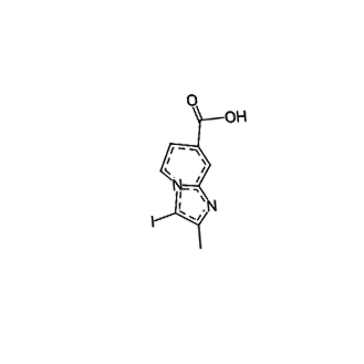 Cc1nc2cc(C(=O)O)ccn2c1I